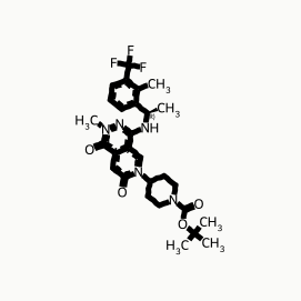 Cc1c([C@@H](C)Nc2nn(C)c(=O)c3cc(=O)n(C4CCN(C(=O)OC(C)(C)C)CC4)cc23)cccc1C(F)(F)F